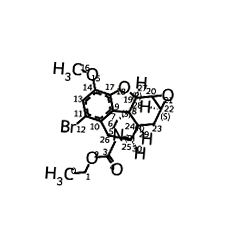 CCOC(=O)N1CC[C@]23c4c5c(Br)cc(OC)c4O[C@H]2C2O[C@H]2C[C@H]3[C@H]1C5